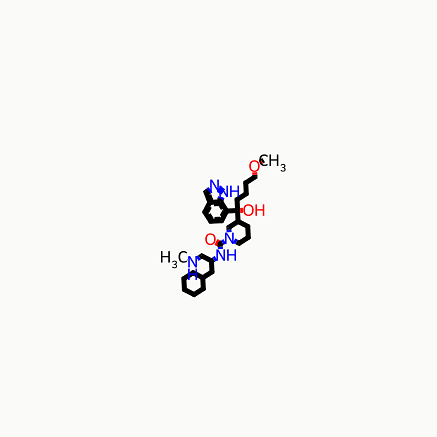 CNCC(CC1CCCCC1)NC(=O)N1CCCC(C(O)(CCCCOC)c2cccc3cn[nH]c23)C1